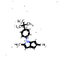 CC1=CC2C(=[C]1)C=C(C)N2c1ccc(C(C)(C)C)cc1